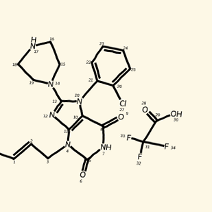 CC=CCn1c(=O)[nH]c(=O)c2c1nc(N1CCNCC1)n2-c1ccccc1Cl.O=C(O)C(F)(F)F